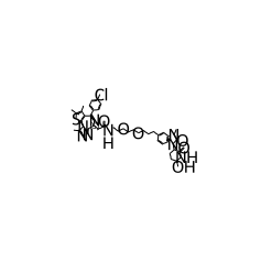 Cc1sc2c(c1C)C(c1ccc(Cl)cc1)=N[C@@H](CC(=O)NCCOCCOCCCc1ccc3c(c1)n(C)c(=O)n3C1CCC(O)NC1=O)c1nnc(C)n1-2